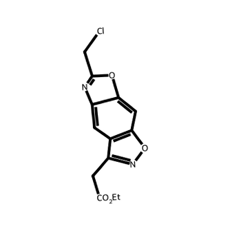 CCOC(=O)Cc1noc2cc3oc(CCl)nc3cc12